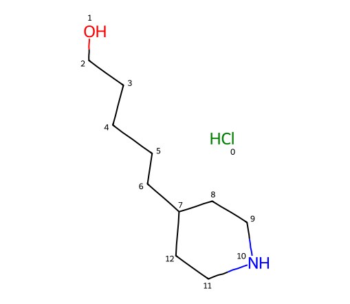 Cl.OCCCCCC1CCNCC1